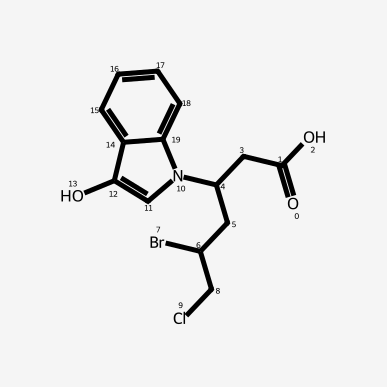 O=C(O)CC(CC(Br)CCl)n1cc(O)c2ccccc21